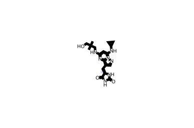 CC(C)(CO)CNc1cc(NC2CC2)n2ncc(/C=C3\NC(=O)NC3=O)c2n1